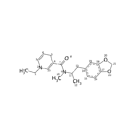 CCN1C=CCC(C(=O)N(C)C(C)Cc2ccc3c(c2)OCO3)=C1